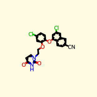 N#Cc1ccc2c(Oc3ccc(Cl)cc3OCCn3ccc(=O)[nH]c3=O)cc(Cl)cc2c1